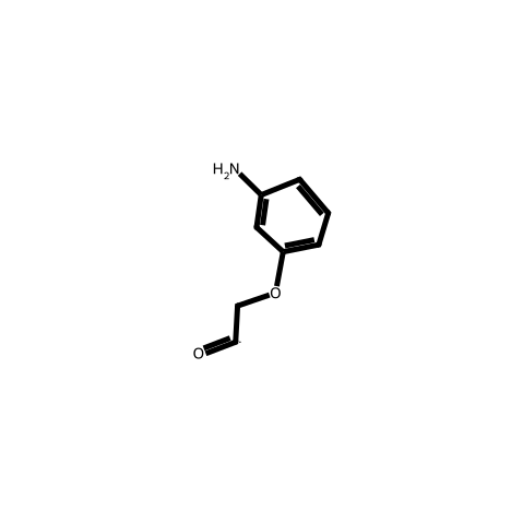 Nc1cccc(OC[C]=O)c1